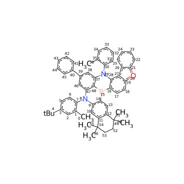 Cc1cc(C(C)(C)C)ccc1N1c2cc3c(cc2B2c4ccc5oc6ccccc6c5c4N(c4ccccc4C)c4cc(-c5ccccc5)cc1c42)C(C)(C)CCC3(C)C